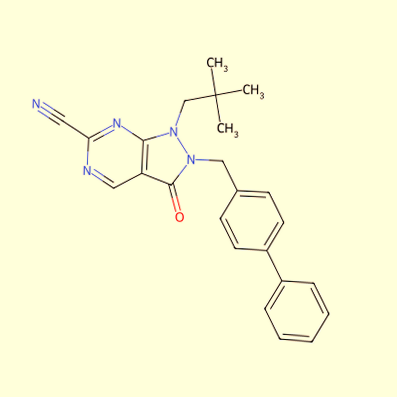 CC(C)(C)Cn1c2nc(C#N)ncc2c(=O)n1Cc1ccc(-c2ccccc2)cc1